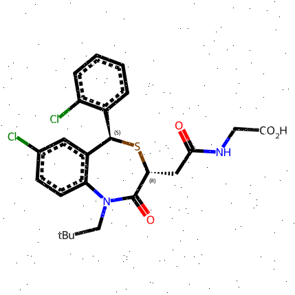 CC(C)(C)CN1C(=O)[C@@H](CC(=O)NCC(=O)O)S[C@H](c2ccccc2Cl)c2cc(Cl)ccc21